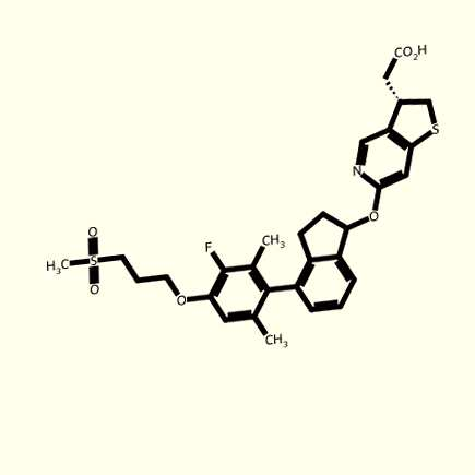 Cc1cc(OCCCS(C)(=O)=O)c(F)c(C)c1-c1cccc2c1CCC2Oc1cc2c(cn1)[C@H](CC(=O)O)CS2